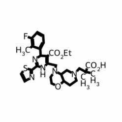 CCOC(=O)C1=C(CN2CCOC3CCN(CC(C)(C)C(=O)O)CC32)NC(c2nccs2)=NC1c1cccc(F)c1C